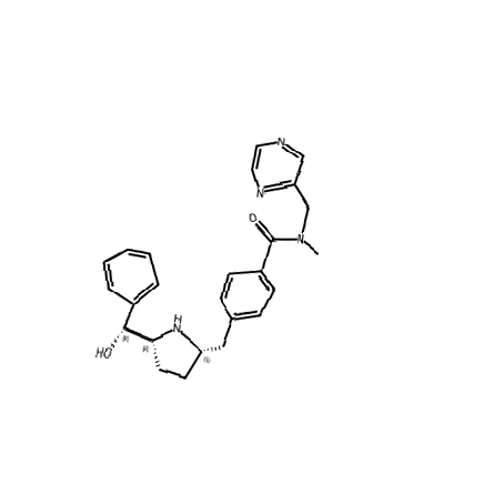 CN(Cc1cnccn1)C(=O)c1ccc(C[C@@H]2CC[C@H]([C@H](O)c3ccccc3)N2)cc1